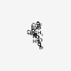 Cn1c(Nc2cc(CNC(=O)c3c(F)cccc3Cl)ccc2Cl)nc2cc(C(=O)Nc3ccc(Br)cc3)ccc21